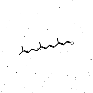 CC(C)=CCC/C(C)=C/C=C/C(C)=C/C=O